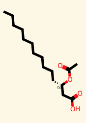 CCCCCCCCCCC[C@@H](CC(=O)O)OC(C)=O